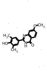 COc1ccc2c(=O)[nH]c(-c3cc(C)c(O)c(C)c3)nc2c1